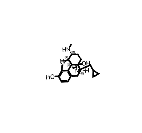 CN[C@@H]1CCC2(O)[C@H]3Cc4ccc(O)c5c4[C@@]2(CCN3CC2CC2)[C@H]1O5